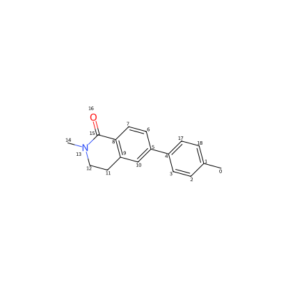 Cc1ccc(-c2ccc3c(c2)CCN(C)C3=O)cc1